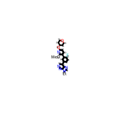 CCn1cnc2c(-c3ccc(F)c(-c4ccc(OC5CCOCC5)nc4OC)c3)cnnc21